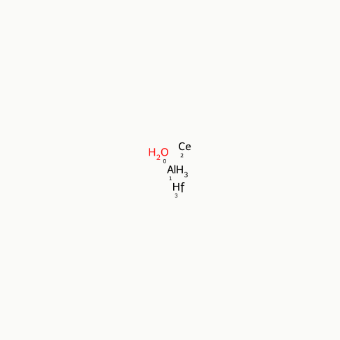 O.[AlH3].[Ce].[Hf]